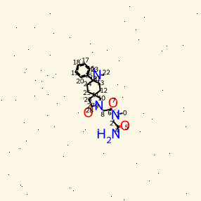 CN(CC(N)=O)C(=O)CN1CC2(CCC(c3ccccc3)(N(C)C)CC2)CC1=O